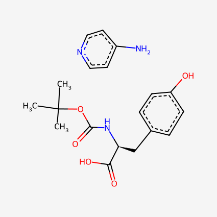 CC(C)(C)OC(=O)N[C@@H](Cc1ccc(O)cc1)C(=O)O.Nc1ccncc1